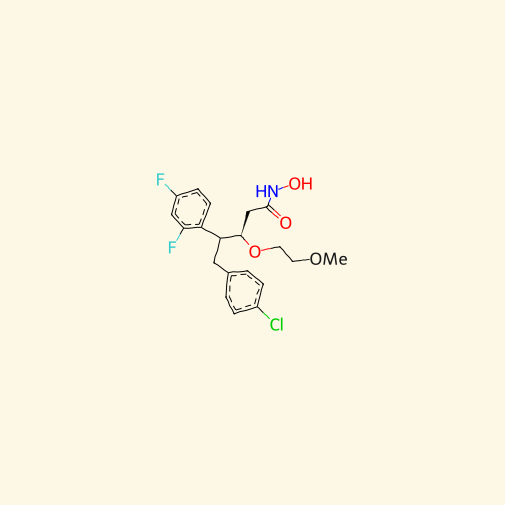 COCCO[C@H](CC(=O)NO)C(Cc1ccc(Cl)cc1)c1ccc(F)cc1F